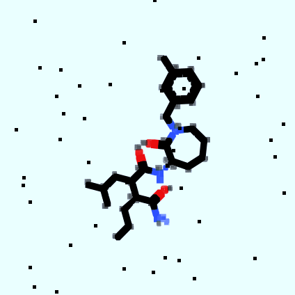 CCC[C@H](C(N)=O)C(CC(C)C)C(=O)N[C@H]1CCCCN(Cc2cccc(C)c2)C1=O